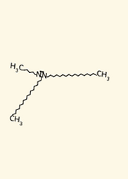 CCCCCCCCCCCCCCCCCCN1C=CN(CCCCCC)C1CCCCCCCCCCCCCCCCC